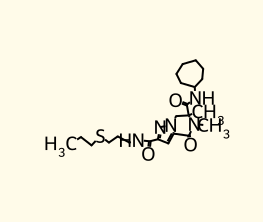 CCCSCCCNC(=O)c1cc2n(n1)CC(C)(C(=O)NC1CCCCCC1)N(C)C2=O